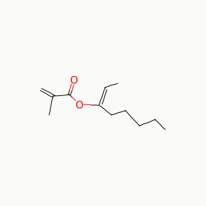 C=C(C)C(=O)OC(=CC)CCCCC